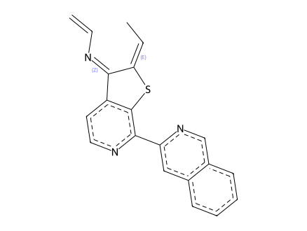 C=C/N=C1\C(=C/C)Sc2c1ccnc2-c1cc2ccccc2cn1